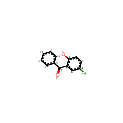 [O]c1ccc(Br)cc1C(=O)c1ccccc1